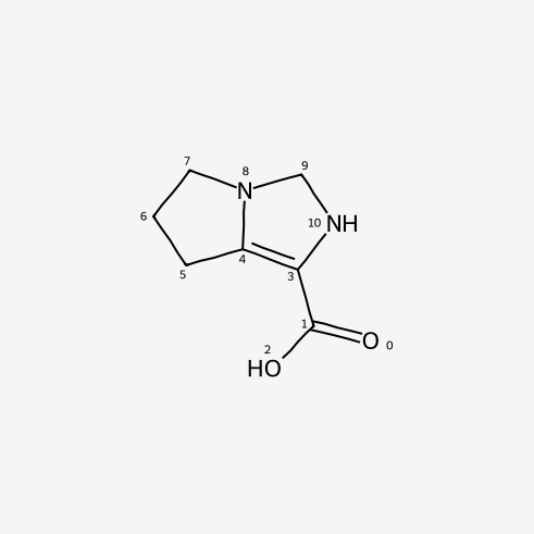 O=C(O)C1=C2CCCN2CN1